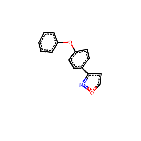 c1ccc(Oc2ccc(-c3ccon3)cc2)cc1